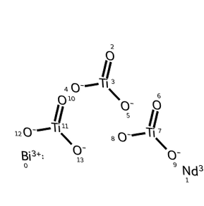 [Bi+3].[Nd+3].[O]=[Ti]([O-])[O-].[O]=[Ti]([O-])[O-].[O]=[Ti]([O-])[O-]